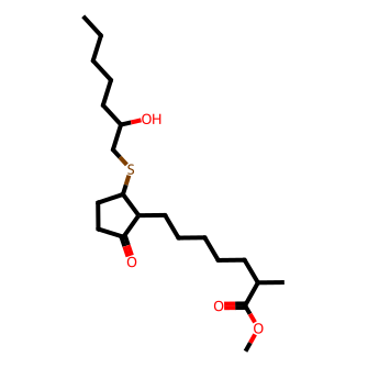 CCCCCC(O)CSC1CCC(=O)C1CCCCCC(C)C(=O)OC